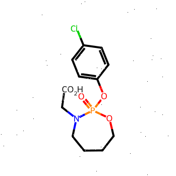 O=C(O)CN1CCCCOP1(=O)Oc1ccc(Cl)cc1